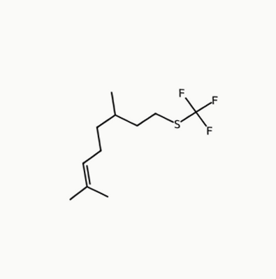 CC(C)=CCCC(C)CCSC(F)(F)F